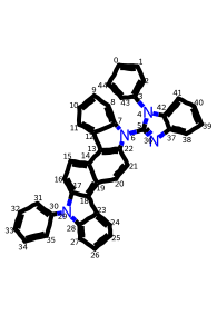 c1ccc(-n2c(-n3c4ccccc4c4c5ccc6c(c5ccc43)c3ccccc3n6-c3ccccc3)nc3ccccc32)cc1